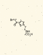 O=C(O)NCCc1ccc(C(=O)CBr)s1